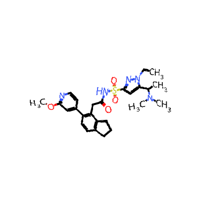 CCn1nc(S(=O)(=O)NC(=O)Cc2c(-c3ccnc(OC)c3)ccc3c2CCC3)cc1C(C)N(C)C